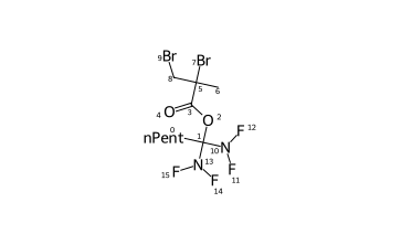 CCCCCC(OC(=O)C(C)(Br)CBr)(N(F)F)N(F)F